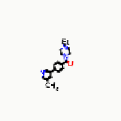 CCN1CCN(C(=O)C2=CCC(c3cncc(C)c3)C=C2)CC1